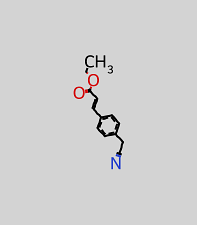 CCOC(=O)/C=C/c1ccc(CC#N)cc1